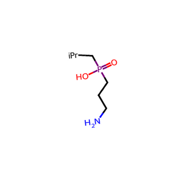 CC(C)CP(=O)(O)CCCN